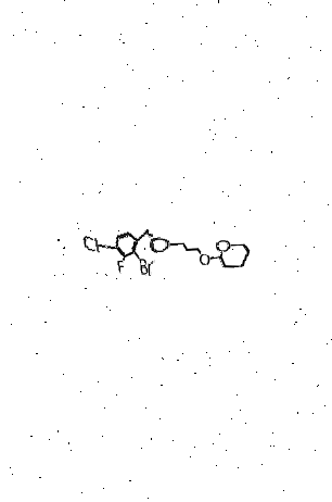 Fc1c(Cl)ccc(COCCCOC2CCCCO2)c1Br